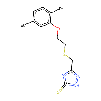 CCc1ccc(CC)c(OCCSCc2n[nH]c(=S)[nH]2)c1